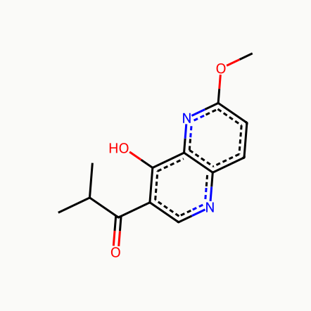 COc1ccc2ncc(C(=O)C(C)C)c(O)c2n1